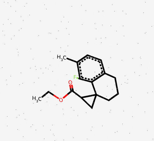 CCOC(=O)C1CC12CCCc1ccc(C)c(F)c12